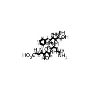 NC(=O)CCC(NN[C@@H](Cc1ccccc1)C(=O)C(=O)[C@H](CO)NS)C(=O)NC(CO)C(=O)C(=O)[C@@H](N)CCC(=O)O